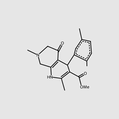 COC(=O)C1=C(C)NC2=C(C(=O)CN(C)C2)C1c1cc(C)ccc1C